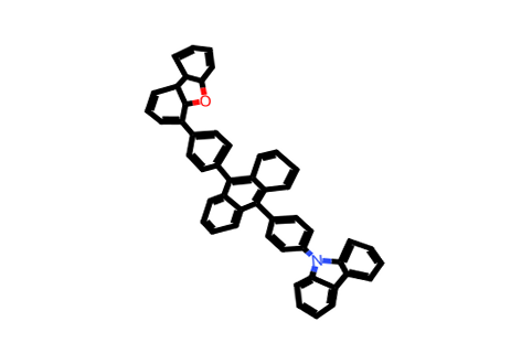 C1=CC2OC3C(c4ccc(-c5c6ccccc6c(-c6ccc(-n7c8ccccc8c8ccccc87)cc6)c6ccccc56)cc4)=CC=CC3C2C=C1